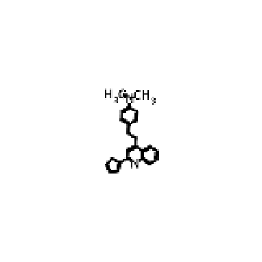 CN(C)c1ccc(CCc2cc(C3=CC=CC3)nc3ccccc23)cc1